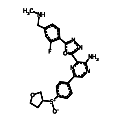 CNCc1ccc(-c2nnc(-c3nc(-c4ccc([S+]([O-])C5CCOC5)cc4)cnc3N)o2)c(F)c1